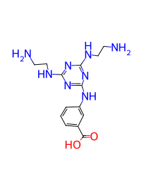 NCCNc1nc(NCCN)nc(Nc2cccc(C(=O)O)c2)n1